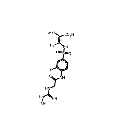 CN/C(C(=O)O)=C(\S)NS(=O)(=O)c1ccc(NC(=O)CNC(=N)NC#N)c(F)c1